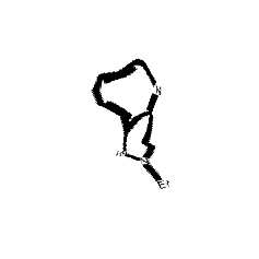 CCN1Cc2ncccc2N1